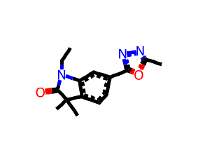 CCN1C(=O)C(C)(C)c2ccc(-c3nnc(C)o3)cc21